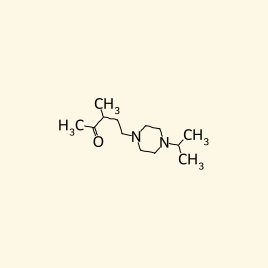 CC(=O)C(C)CCN1CCN(C(C)C)CC1